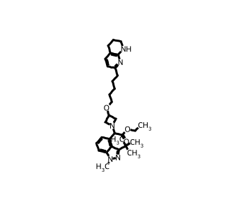 CCOC(=O)C(c1cccc2c1c(C(C)(C)C)nn2C)N1CC(OCCCCCc2ccc3c(n2)NCCC3)C1